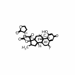 CCC(=O)OC1(C(=O)S[C@H]2CCOC2=O)C(C)C[C@H]2[C@@H]3CC(F)C4=CC(=O)C=C(O)[C@]4(C)C3(F)CC[C@@]21C